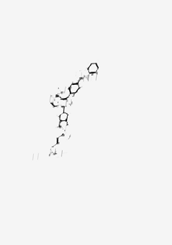 CN(C)C/C=C/C(=O)N1CC2CC(c3nc(-c4ccc(C(=O)Nc5ccccc5)cc4)c4c(N)nccn34)CC2C1